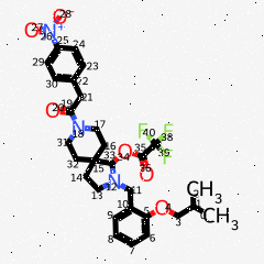 CC(C)COc1ccccc1CN1CCC2(CCN(C(=O)Cc3ccc([N+](=O)[O-])cc3)CC2)C1OC(=O)C(F)(F)F